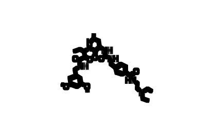 CCC(NC(=O)C(CC(C)C)NC(=O)NCc1ccc(C(=O)NCCN(CC)CC)cc1)C(=O)C(=O)NCc1cc(OC)cc(OC)c1